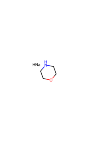 C1COCCN1.[NaH]